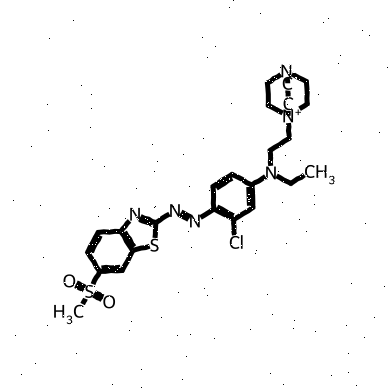 CCN(CC[N+]12CCN(CC1)CC2)c1ccc(N=Nc2nc3ccc(S(C)(=O)=O)cc3s2)c(Cl)c1